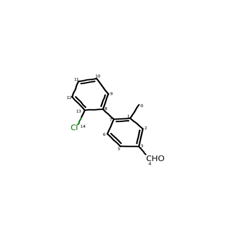 Cc1cc(C=O)ccc1-c1ccccc1Cl